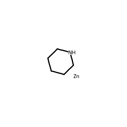 C1CCNCC1.[Zn]